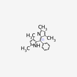 CC1=CC(C)=N/C1=C(/c1ccccc1)c1[nH]c(C)cc1C